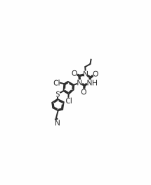 CCCn1c(=O)[nH]c(=O)n(-c2cc(Cl)c(Sc3ccc(C#N)cc3)c(Cl)c2)c1=O